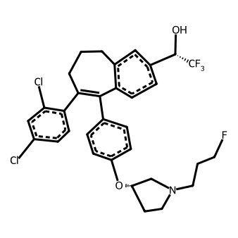 O[C@@H](c1ccc2c(c1)CCCC(c1ccc(Cl)cc1Cl)=C2c1ccc(O[C@H]2CCN(CCCF)C2)cc1)C(F)(F)F